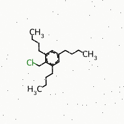 CCCCc1cc(CCCC)c(CCl)c(CCCC)c1